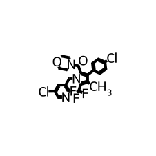 Cc1c(-c2ccc(Cl)cc2)c(C(=O)N2CCOCC2)n(Cc2cncc(Cl)c2)c1C(F)(F)F